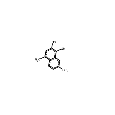 Cc1ccc2c(c1)c(O)c(O)c[n+]2C